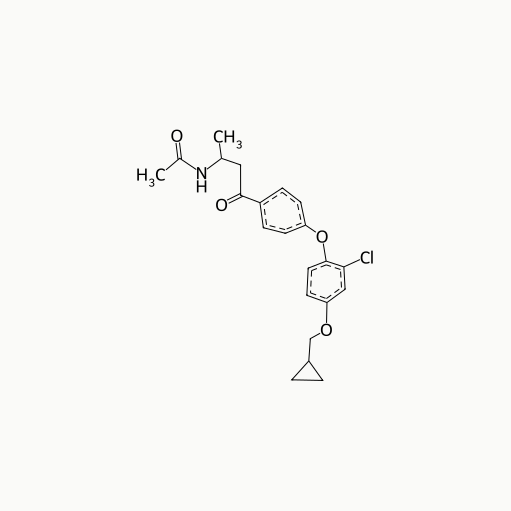 CC(=O)NC(C)CC(=O)c1ccc(Oc2ccc(OCC3CC3)cc2Cl)cc1